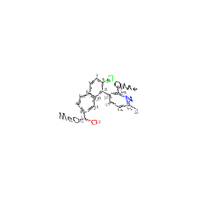 COC(=O)c1ccc2ccc(Cl)c(-c3ccc(C)nc3OC)c2c1